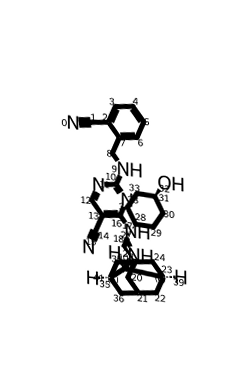 N#Cc1ccccc1CNc1ncc(C#N)c(NC[C@]23CC4C[C@H](C2)[C@@H](NC[C@H]2CC[C@H](O)CC2)[C@@H](C4)C3)n1